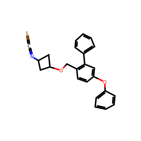 S=C=NC1CC(OCc2ccc(Oc3ccccc3)cc2-c2ccccc2)C1